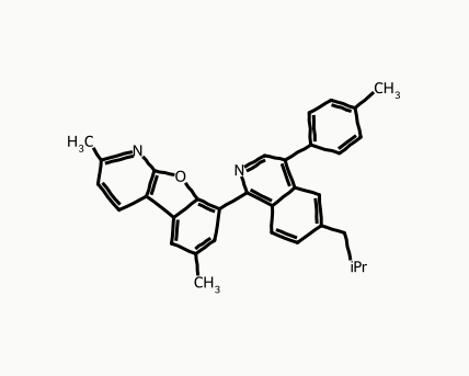 Cc1ccc(-c2cnc(-c3cc(C)cc4c3oc3nc(C)ccc34)c3ccc(CC(C)C)cc23)cc1